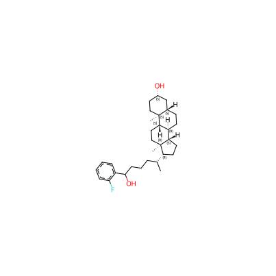 CC(CCCC(O)c1ccccc1F)[C@H]1CC[C@H]2[C@@H]3CC[C@H]4C[C@@H](O)CC[C@]4(C)[C@H]3CC[C@]12C